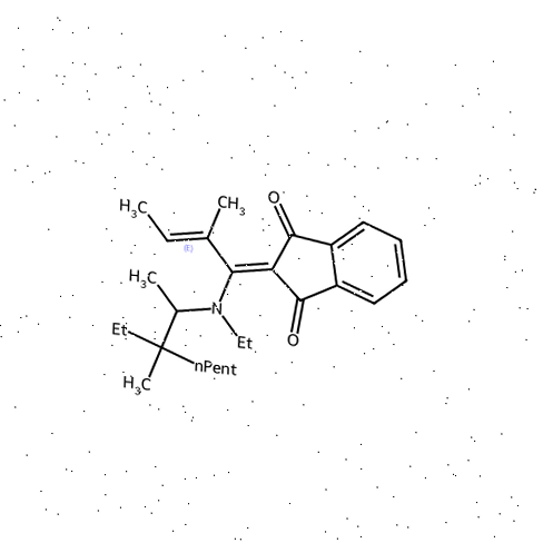 C/C=C(\C)C(=C1C(=O)c2ccccc2C1=O)N(CC)C(C)C(C)(CC)CCCCC